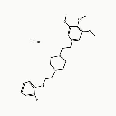 COc1cc(CCN2CCN(CCOc3ccccc3F)CC2)cc(OC)c1OC.Cl.Cl